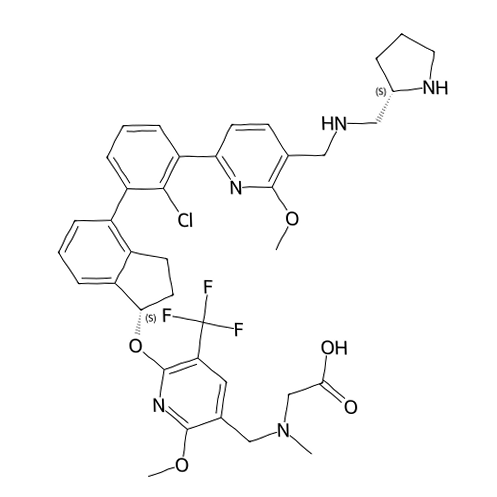 COc1nc(-c2cccc(-c3cccc4c3CC[C@@H]4Oc3nc(OC)c(CN(C)CC(=O)O)cc3C(F)(F)F)c2Cl)ccc1CNC[C@@H]1CCCN1